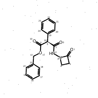 O=C(NN1CCC1=O)[C@@H](C(=O)OCc1ccccc1)c1ccccc1